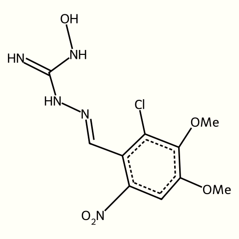 COc1cc([N+](=O)[O-])c(C=NNC(=N)NO)c(Cl)c1OC